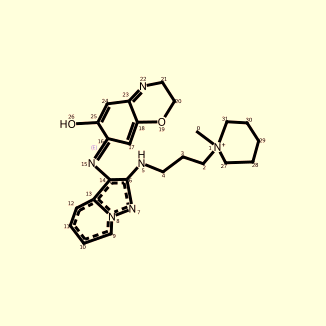 C[N+]1(CCCNc2nn3ccccc3c2/N=C2\C=C3OCCN=C3C=C2O)CCCCC1